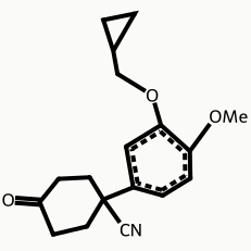 COc1ccc(C2(C#N)CCC(=O)CC2)cc1OCC1CC1